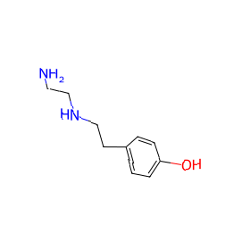 NCCNCCc1ccc(O)cc1